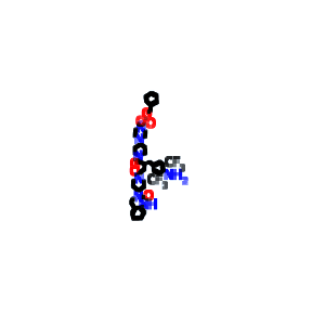 Nc1c(C(F)(F)F)cc(C[C@@H](CC(=O)N2CCC(N3CCc4ccccc4NC3=O)CC2)C(=O)N2CCC(N3CCN(OC(=O)OCc4ccccc4)CC3)CC2)cc1C(F)(F)F